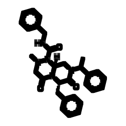 CC(c1ccccc1)N1C[C@H]2N(C(=O)CN(C)N2C(=O)NCc2ccccc2)[C@@H](Cc2ccccc2)C1=O